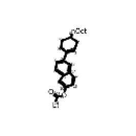 CCCCCCCCC1CC=C(c2ccc3cc(OC(=O)CC)ccc3c2)CC1